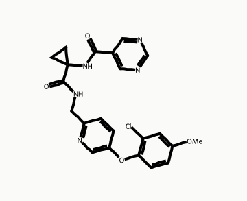 COc1ccc(Oc2ccc(CNC(=O)C3(NC(=O)c4cncnc4)CC3)nc2)c(Cl)c1